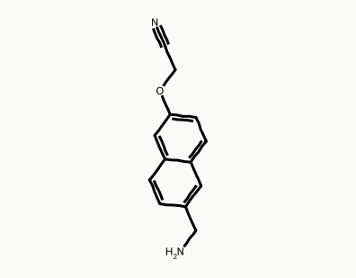 N#CCOc1ccc2cc(CN)ccc2c1